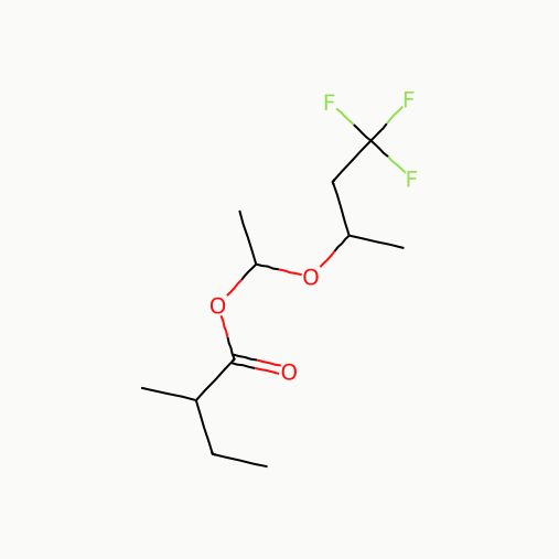 CCC(C)C(=O)OC(C)OC(C)CC(F)(F)F